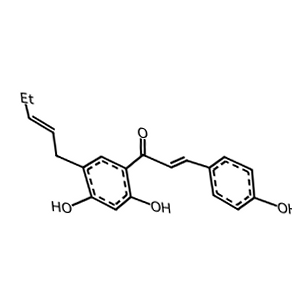 CCC=CCc1cc(C(=O)C=Cc2ccc(O)cc2)c(O)cc1O